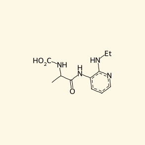 CCNc1ncccc1NC(=O)C(C)NC(=O)O